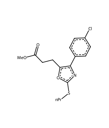 CCCSc1nc(-c2ccc(Cl)cc2)c(CCC(=O)OC)o1